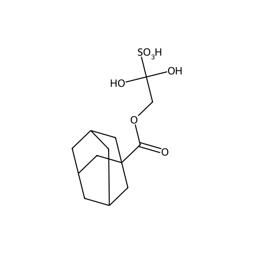 O=C(OCC(O)(O)S(=O)(=O)O)C12CC3CC(CC(C3)C1)C2